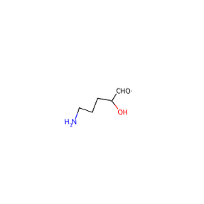 NCCCC(O)[C]=O